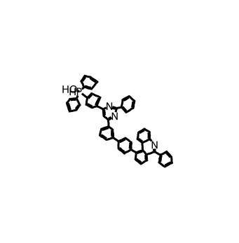 O[PH](c1ccccc1)(c1ccccc1)c1ccc(-c2cc(-c3cccc(-c4ccc(-c5cccc6c(-c7ccccc7)nc7ccccc7c56)cc4)c3)nc(-c3ccccc3)n2)cc1